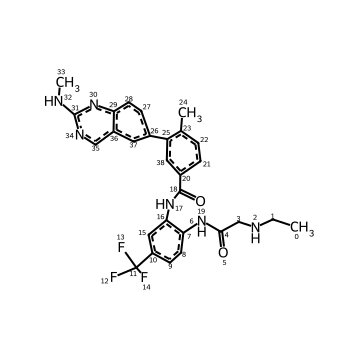 CCNCC(=O)Nc1ccc(C(F)(F)F)cc1NC(=O)c1ccc(C)c(-c2ccc3nc(NC)ncc3c2)c1